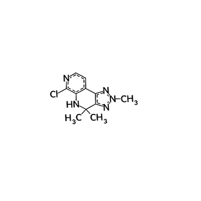 Cn1nc2c(n1)C(C)(C)Nc1c-2ccnc1Cl